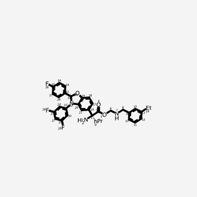 CCC[C@@](N)(C(=O)OCNCc1cccc(CC)c1)c1ccc2c(c1)N(c1cc(F)cc(F)c1)C(c1ccc(F)cc1)O2